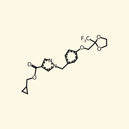 O=C(OCC1CC1)c1cnn(Cc2ccc(OCC3(C(F)(F)F)OCCO3)cc2)c1